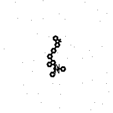 CC1(C)c2ccccc2-c2cc(-c3ccc(-c4cccc(-c5ccc(-c6cc(-c7ccccc7)nc(-c7ccccc7)n6)c6ccccc56)c4)cc3)ccc21